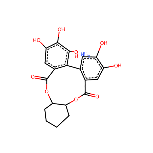 Nc1c(O)c(O)cc2c1-c1c(cc(O)c(O)c1O)C(=O)OC1CCCCC1OC2=O